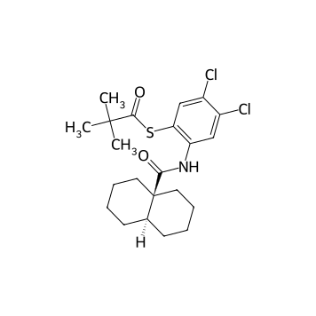 CC(C)(C)C(=O)Sc1cc(Cl)c(Cl)cc1NC(=O)[C@]12CCCC[C@@H]1CCCC2